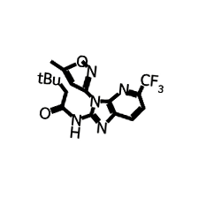 Cc1cc(-n2c(NC(=O)CC(C)(C)C)nc3ccc(C(F)(F)F)nc32)no1